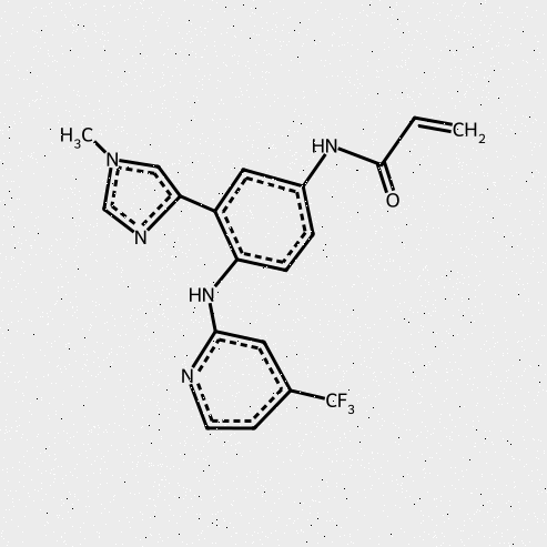 C=CC(=O)Nc1ccc(Nc2cc(C(F)(F)F)ccn2)c(-c2cn(C)cn2)c1